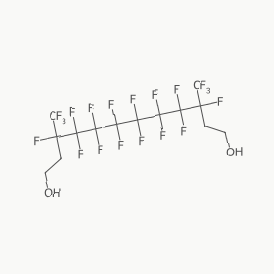 OCCC(F)(C(F)(F)F)C(F)(F)C(F)(F)C(F)(F)C(F)(F)C(F)(F)C(F)(F)C(F)(CCO)C(F)(F)F